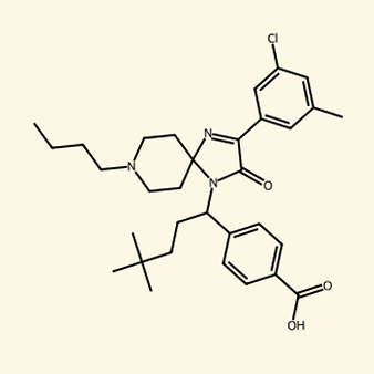 CCCCN1CCC2(CC1)N=C(c1cc(C)cc(Cl)c1)C(=O)N2C(CCC(C)(C)C)c1ccc(C(=O)O)cc1